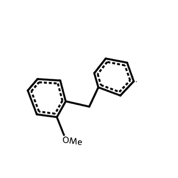 COc1ccccc1Cc1c[c]ccc1